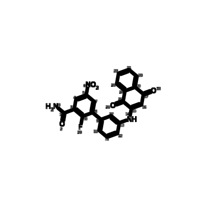 NC(=O)c1cc([N+](=O)[O-])cc(-c2cccc(NC3=CC(=O)c4ccccc4C3=O)c2)c1F